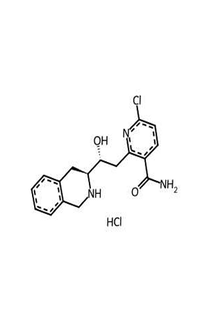 Cl.NC(=O)c1ccc(Cl)nc1C[C@@H](O)[C@@H]1Cc2ccccc2CN1